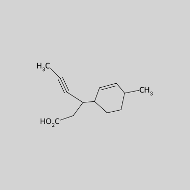 CC#CC(CC(=O)O)C1C=CC(C)CC1